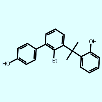 CCc1c(-c2ccc(O)cc2)cccc1C(C)(C)c1ccccc1O